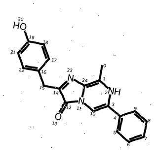 Cc1[nH]c(-c2ccccc2)cn2c(=O)c(Cc3ccc(O)cc3)nc1-2